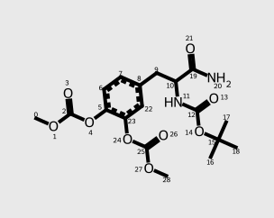 COC(=O)Oc1ccc(CC(NC(=O)OC(C)(C)C)C(N)=O)cc1OC(=O)OC